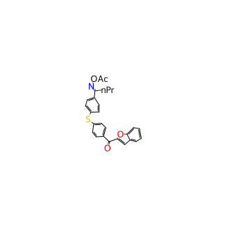 CCC/C(=N\OC(C)=O)c1ccc(Sc2ccc(C(=O)c3cc4ccccc4o3)cc2)cc1